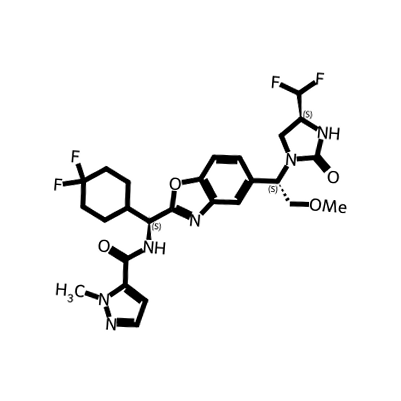 COC[C@H](c1ccc2oc([C@@H](NC(=O)c3ccnn3C)C3CCC(F)(F)CC3)nc2c1)N1C[C@@H](C(F)F)NC1=O